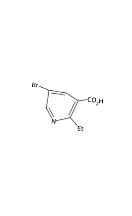 CCc1ncc(Br)cc1C(=O)O